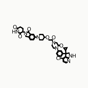 O=C1CCC(N2Cc3ccc(N4CCC(OCC(=O)N5CCN(c6cccc(C7(C8CC8)CNc8nccc(Cl)c87)c6)C(=O)C5)CC4)cc3C2=O)C(=O)N1